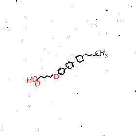 CCCCC[C@H]1CC[C@H](c2ccc(-c3ccc(OCCCCCC(=O)O)cc3)cc2)CC1